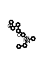 c1ccc(-c2cccc(-c3nc(-c4ccccc4)nc(-c4ccc5c(c4)oc4ccc(-c6ccccc6-c6cccc7oc8ccccc8c67)cc45)n3)c2)cc1